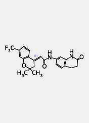 CC1(C)C/C(=C\C(=O)Nc2ccc3c(c2)NC(=O)CC3)c2ccc(C(F)(F)F)cc2O1